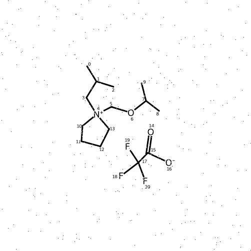 CC(C)C[N+]1(COC(C)C)CCCC1.O=C([O-])C(F)(F)F